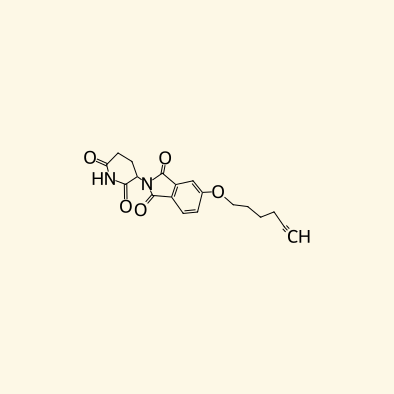 C#CCCCCOc1ccc2c(c1)C(=O)N(C1CCC(=O)NC1=O)C2=O